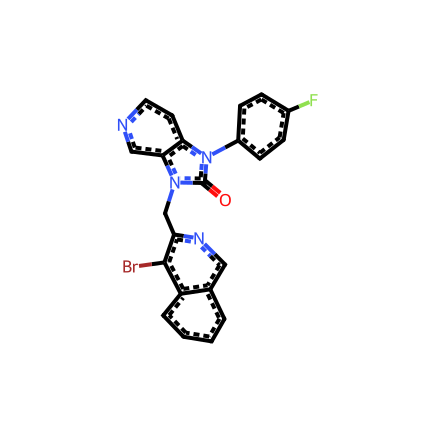 O=c1n(Cc2ncc3ccccc3c2Br)c2cnccc2n1-c1ccc(F)cc1